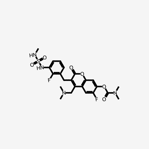 CNS(=O)(=O)Nc1cccc(Cc2c(CN(C)C)c3cc(F)c(OC(=O)N(C)C)cc3oc2=O)c1F